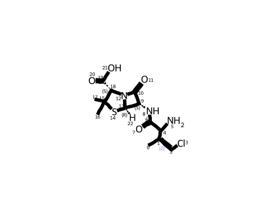 C/C(=C/Cl)C(N)C(=O)N[C@H]1C(=O)N2[C@@H]1SC(C)(C)[C@@H]2C(=O)O